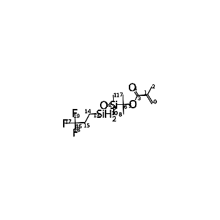 C=C(C)C(=O)OC(C)(C)[Si](C)(C)O[SiH2]CCC(F)(F)F